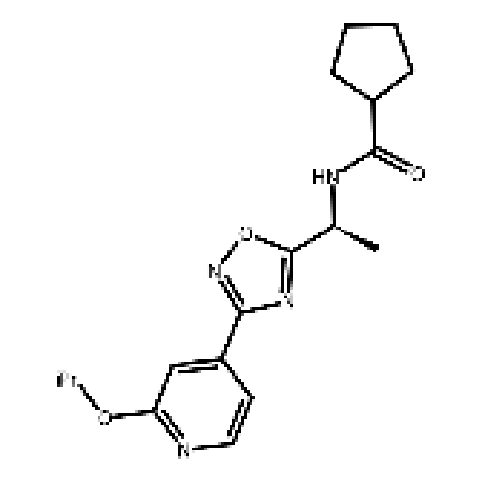 CC(C)Oc1cc(-c2noc([C@H](C)NC(=O)C3CCCC3)n2)ccn1